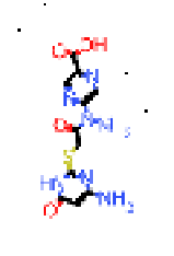 Nc1cc(=O)[nH]c(SCC(=O)N(N)c2cnc(C(=O)O)cn2)n1